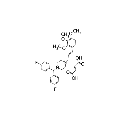 COc1ccc(C=CCN2CCN(C(c3ccc(F)cc3)c3ccc(F)cc3)CC2)c(OC)c1OC.O=C(O)C=CC(=O)O